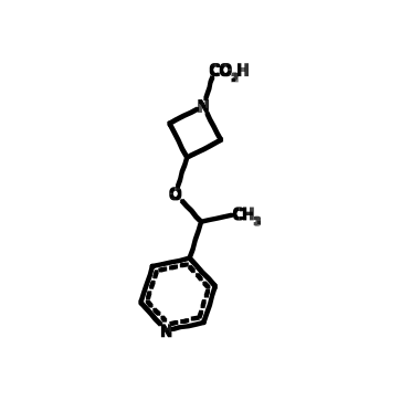 CC(OC1CN(C(=O)O)C1)c1ccncc1